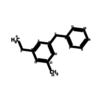 CCc1[c]c(Cc2ccccc2)cc(C)c1